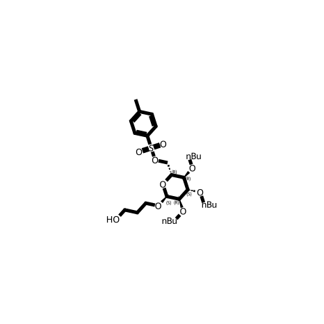 CCCCO[C@@H]1[C@@H](OCCCC)[C@@H](OCCCO)O[C@H](COS(=O)(=O)c2ccc(C)cc2)[C@H]1OCCCC